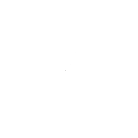 CCC(C)(C)CC(C)(C)C(=O)SCCS